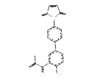 C=C(C)C(=O)c1cc(-c2ccc(N3C(=O)C=CC3=O)cc2)ccc1CCC